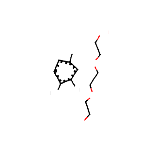 Cc1ccc(S(=O)(=O)O)cc1C.OCCOCCOCCO